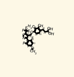 COc1cc(F)c(-c2nsc(C(F)(F)F)c2COc2ccc(CCC(O)O)c(C)c2C)c(F)c1